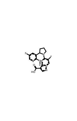 COc1ncc(F)cc1C1CCCN1c1nc2c(C(=O)O)cnn2cc1F